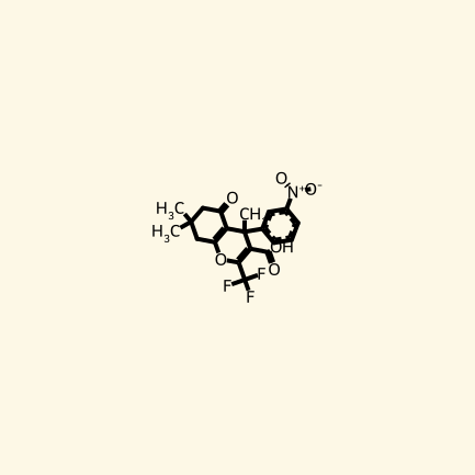 CC1(C)CC(=O)C2=C(C1)OC(C(F)(F)F)=C(C(=O)O)C2(C)c1cccc([N+](=O)[O-])c1